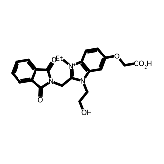 CC[n+]1c(CN2C(=O)c3ccccc3C2=O)n(CCO)c2cc(OCC(=O)O)ccc21